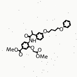 COC(=O)COc1cc(C(=O)OC)ccc1NC(=O)C(C)c1cccc(OCCCCOc2ccccc2)c1